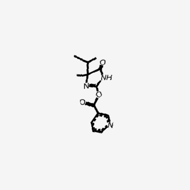 CC(C)C1(C)N=C(OC(=O)c2cccnc2)NC1=O